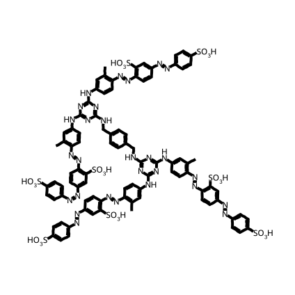 Cc1cc(Nc2nc(NCc3ccc(CNc4nc(Nc5ccc(N=Nc6ccc(N=Nc7ccc(S(=O)(=O)O)cc7)cc6S(=O)(=O)O)c(C)c5)nc(Nc5ccc(N=Nc6ccc(N=Nc7ccc(S(=O)(=O)O)cc7)cc6S(=O)(=O)O)c(C)c5)n4)cc3)nc(Nc3ccc(N=Nc4ccc(N=Nc5ccc(S(=O)(=O)O)cc5)cc4S(=O)(=O)O)c(C)c3)n2)ccc1N=Nc1ccc(N=Nc2ccc(S(=O)(=O)O)cc2)cc1S(=O)(=O)O